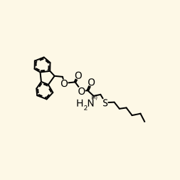 CCCCCCSC[C@H](N)C(=O)OC(=O)OCC1c2ccccc2-c2ccccc21